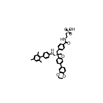 Cc1cc(C)c(-c2ccc(NC[C@@](C=O)(Cc3ccc(C(=O)NCCS(=O)(=O)O)cc3)c3ccc(-c4ccc5c(c4)OCCO5)cc3)cc2)c(C)c1